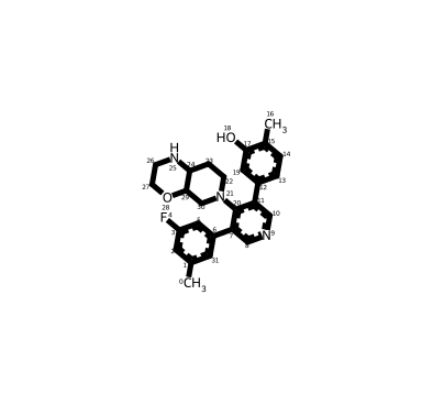 Cc1cc(F)cc(-c2cncc(-c3ccc(C)c(O)c3)c2N2CCC3NCCOC3C2)c1